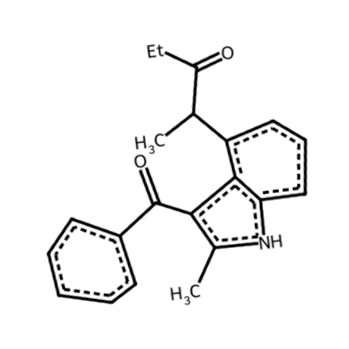 CCC(=O)C(C)c1cccc2[nH]c(C)c(C(=O)c3ccccc3)c12